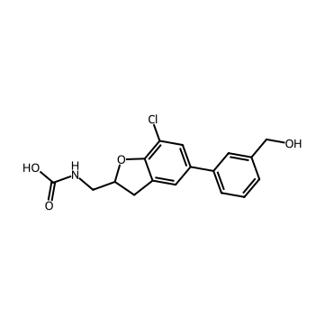 O=C(O)NCC1Cc2cc(-c3cccc(CO)c3)cc(Cl)c2O1